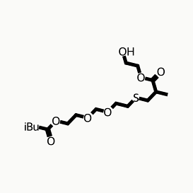 CCC(C)C(=O)OCCOCOCCSCC(C)C(=O)OCCO